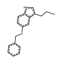 CC(=O)CCc1c[nH]c2ccc(OCc3ccccc3)cc12